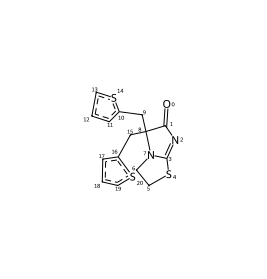 O=C1N=C2SCCN2C1(Cc1cccs1)Cc1cccs1